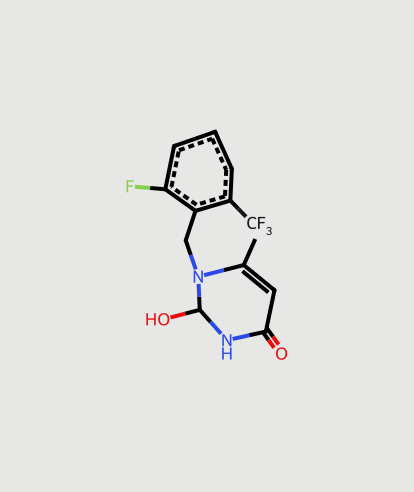 CC1=CC(=O)NC(O)N1Cc1c(F)cccc1C(F)(F)F